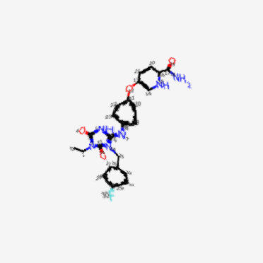 CCn1c(=O)[nH]/c(=N\c2ccc(OC3=CNC(C(N)=O)C=C3)cc2)n(Cc2ccc(F)cc2)c1=O